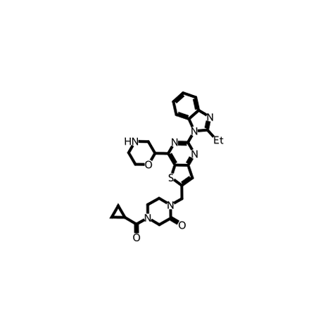 CCc1nc2ccccc2n1-c1nc(C2CNCCO2)c2sc(CN3CCN(C(=O)C4CC4)CC3=O)cc2n1